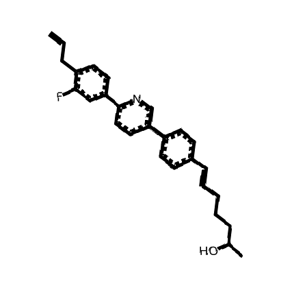 C=CCc1ccc(-c2ccc(-c3ccc(C=CCCCC(C)O)cc3)cn2)cc1F